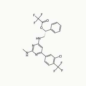 CNc1nc(NC[C@H](OC(=O)C(F)(F)F)c2ccccc2)cc(-c2ccc(C(F)(F)F)c(Cl)c2)n1